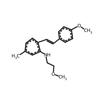 COCCNc1cc(C)ccc1C=Cc1ccc(OC)cc1